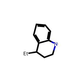 CCC1CC[N]c2ccccc21